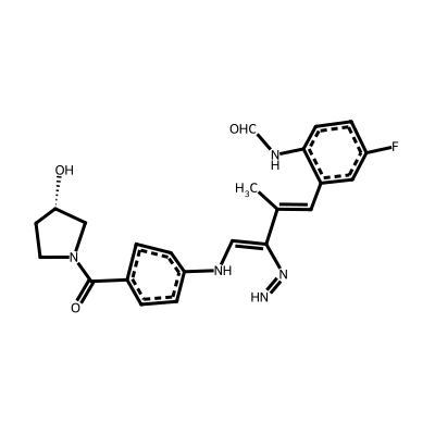 CC(=C\c1cc(F)ccc1NC=O)/C(=C/Nc1ccc(C(=O)N2CC[C@H](O)C2)cc1)N=N